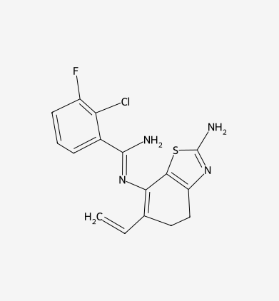 C=CC1=C(/N=C(\N)c2cccc(F)c2Cl)c2sc(N)nc2CC1